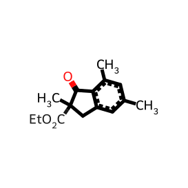 CCOC(=O)C1(C)Cc2cc(C)cc(C)c2C1=O